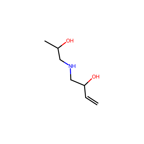 C=CC(O)CNCC(C)O